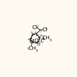 CCOC(C)=O.Cc1ccc(C(Cl)Cl)cc1